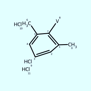 Cc1cccc(C)[c]1[V].Cl.Cl.Cl